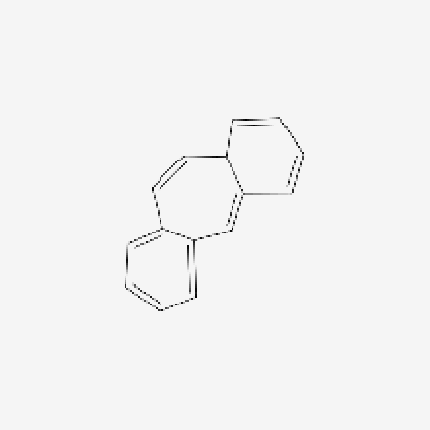 C1=CC2=Cc3ccccc3C=CC2C=C1